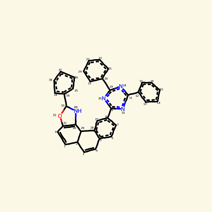 C1=CC2C=Cc3ccc(-c4nc(-c5ccccc5)nc(-c5ccccc5)n4)cc3C2C2=C1OC(c1ccccc1)N2